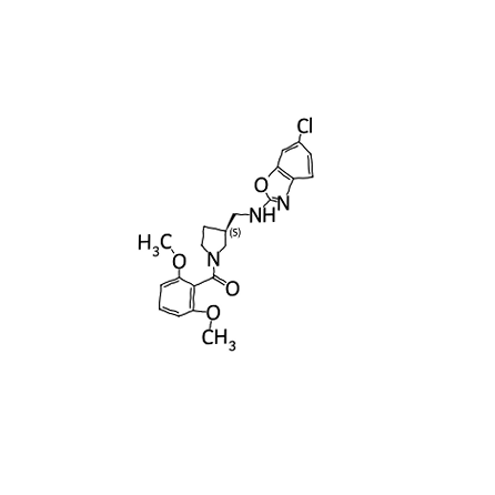 COc1cccc(OC)c1C(=O)N1CC[C@@H](CNc2nc3ccc(Cl)cc3o2)C1